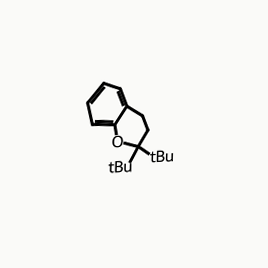 CC(C)(C)C1(C(C)(C)C)CCc2ccccc2O1